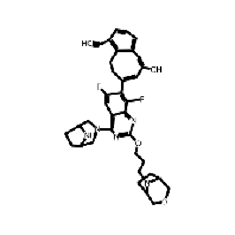 C#Cc1cccc2c1CC/C(c1c(F)cc3c(N4CC5CCC(C4)N5)nc(OCCCN4C5CCC4COC5)nc3c1F)=C\C(O)=C/2